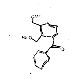 COCc1cccc(C(=O)c2ccccc2)c1COC